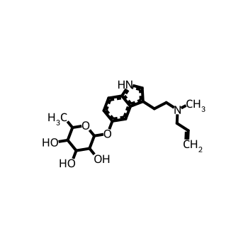 C=CCN(C)CCc1c[nH]c2ccc(OC3OC(C)C(O)C(O)C3O)cc12